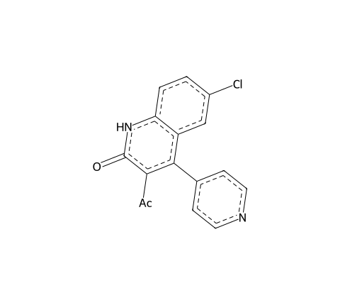 CC(=O)c1c(-c2ccncc2)c2cc(Cl)ccc2[nH]c1=O